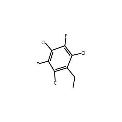 CCc1c(Cl)c(F)c(Cl)c(F)c1Cl